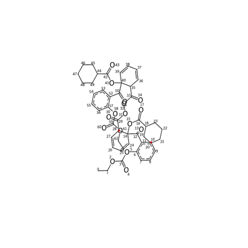 CCOC(=O)Oc1ccccc1C(=O)C1(OC(=O)C2CCCCC2)C=CC=CC1C(=O)OOC(=O)C1C=CC=CC1(OC(=O)C1CCCCC1)C(=O)c1ccccc1OC(=O)OCC